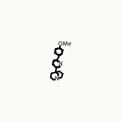 COc1ccc(-c2ccc(C34CCCN(CCC3)C4)cn2)cc1